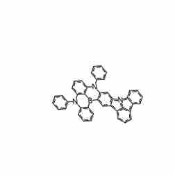 c1ccc(N2c3ccccc3B3c4cc5c6cccc7c8ccccc8n(c5cc4N(c4ccccc4)c4cccc2c43)c76)cc1